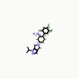 CC(C)n1ncc2c1CN([C@H]1CCC(c3cc(F)c(F)cc3F)[C@@H](N)C1)C2